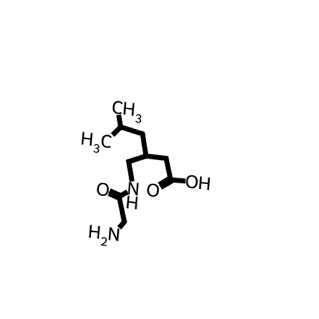 CC(C)CC(CNC(=O)CN)CC(=O)O